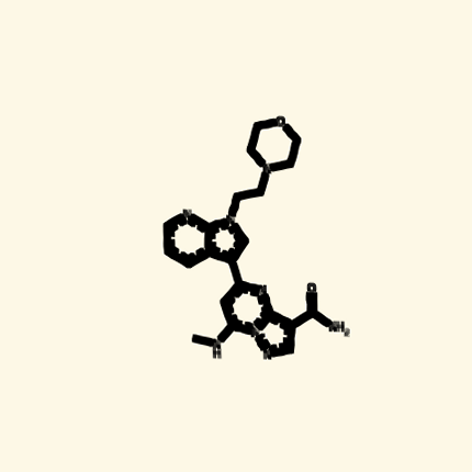 CNc1cc(-c2cn(CCN3CCOCC3)c3ncccc23)nc2c(C(N)=O)cnn12